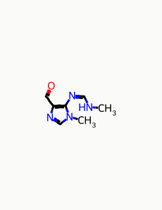 CN/C=N\c1c(C=O)ncn1C